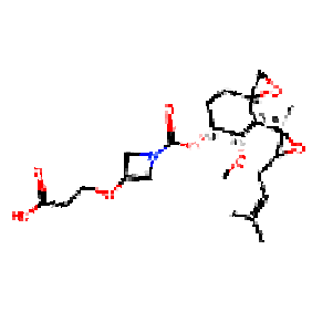 CO[C@@H]1[C@H](OC(=O)N2CC(OCCC(=O)O)C2)CC[C@]2(CO2)[C@H]1[C@@]1(C)OC1CC=C(C)C